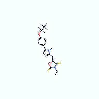 CCN1C(=S)O/C(=C\c2ccc(-c3ccc(OC(C)(C)C(C)(C)C)cc3)n2C)C1=S